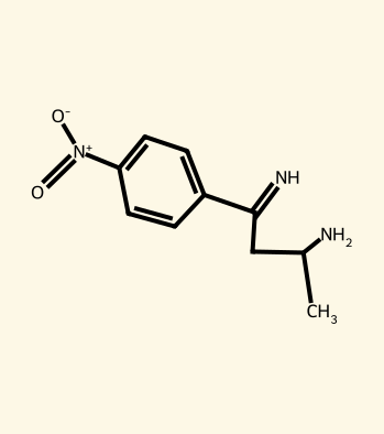 CC(N)CC(=N)c1ccc([N+](=O)[O-])cc1